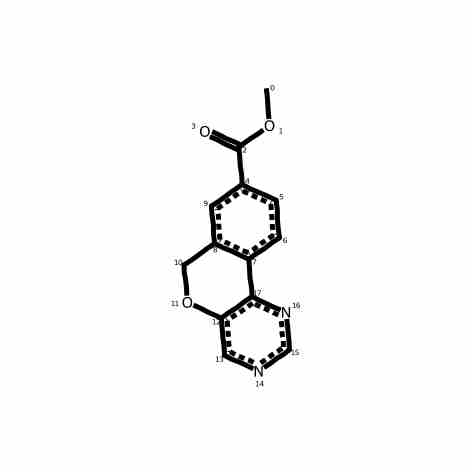 COC(=O)c1ccc2c(c1)COc1cncnc1-2